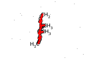 C=CCOCCCOc1ccc2cc(C#Cc3ccc(OCCCCCCOc4ccc(C#Cc5ccc6cc(OCCCOCC=C)ccc6c5)cc4C(=O)OCCC)c(C(=O)OCCC)c3)ccc2c1